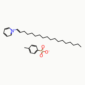 CCCCCCCCCCCCCCCCC=C[n+]1ccccc1.Cc1ccc(S(=O)(=O)[O-])cc1